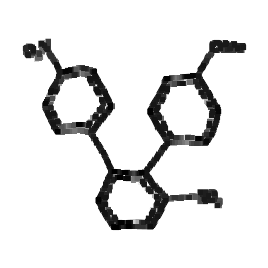 COc1ccc(-c2c(-c3ccc([N+](=O)[O-])cc3)cccc2[N+](=O)[O-])cc1